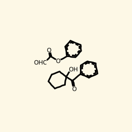 O=C(c1ccccc1)C1(O)CCCCC1.O=CC(=O)Oc1ccccc1